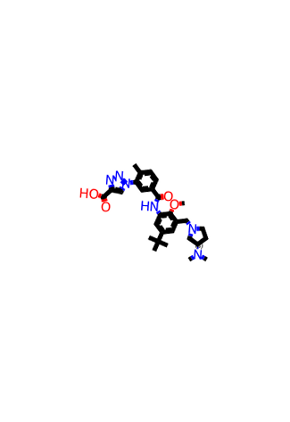 COc1c(CN2CC[C@H](N(C)C)C2)cc(C(C)(C)C)cc1NC(=O)c1ccc(C)c(-n2cc(C(=O)O)nn2)c1